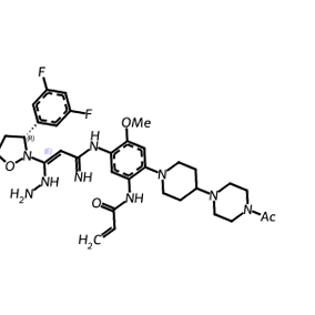 C=CC(=O)Nc1cc(NC(=N)/C=C(\NN)N2OCC[C@@H]2c2cc(F)cc(F)c2)c(OC)cc1N1CCC(N2CCN(C(C)=O)CC2)CC1